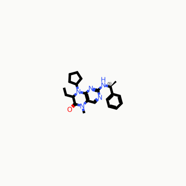 CCC1C(=O)N(C)c2cnc(N[C@@H](C)c3ccccc3)nc2N1C1CCCC1